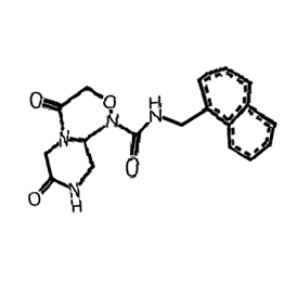 O=C1CN2C(=O)CON(C(=O)NCc3cccc4ccccc34)C2CN1